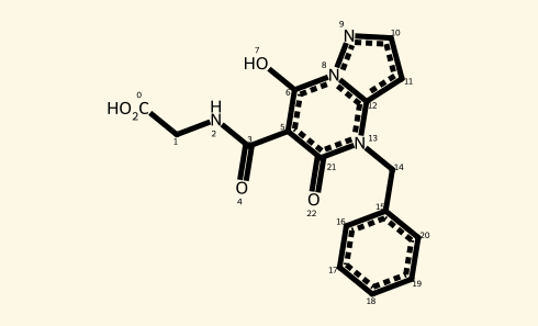 O=C(O)CNC(=O)c1c(O)n2nccc2n(Cc2ccccc2)c1=O